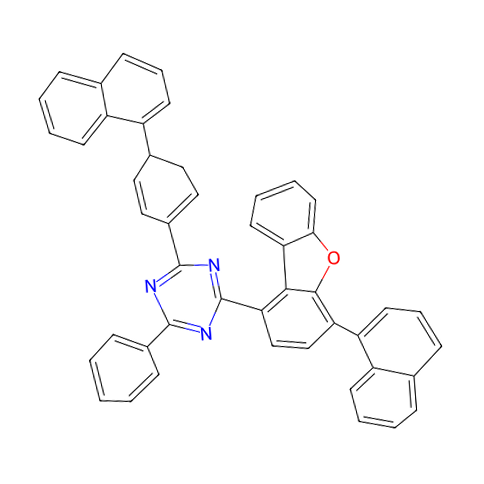 C1=CC(c2cccc3ccccc23)CC=C1c1nc(-c2ccccc2)nc(-c2ccc(-c3cccc4ccccc34)c3oc4ccccc4c23)n1